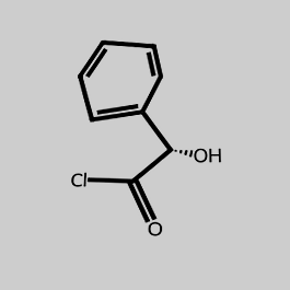 O=C(Cl)[C@@H](O)c1ccccc1